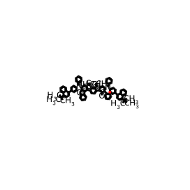 CC(C)(C)c1ccc(-c2ccc(N(c3ccccc3)c3cc4c(c5c3oc3ccccc35)-c3ccc5c(c3[Si]4(C)C)[Si](C)(C)c3cc(N(c4ccccc4)c4ccc(-c6ccc(C(C)(C)C)c7ccccc67)cc4)c4c(oc6ccccc64)c3-5)cc2)c2ccccc12